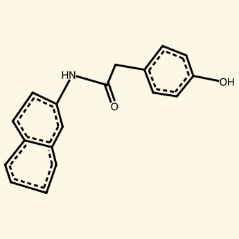 O=C(Cc1ccc(O)cc1)Nc1ccc2ccccc2c1